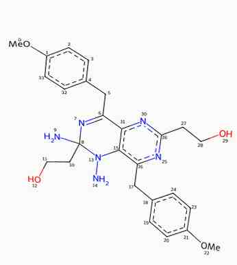 COc1ccc(CC2=NC(N)(CCO)N(N)c3c(Cc4ccc(OC)cc4)nc(CCO)nc32)cc1